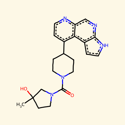 CC1(O)CCN(C(=O)N2CCC(c3ccnc4cnc5[nH]ccc5c34)CC2)C1